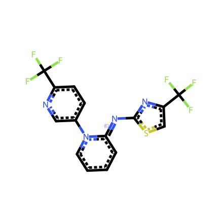 FC(F)(F)c1ccc(-n2cccc/c2=N\c2nc(C(F)(F)F)cs2)cn1